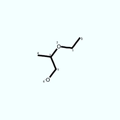 [CH2]COC(C)C[O]